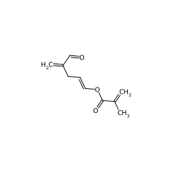 C=C(C=O)CC=COC(=O)C(=C)C